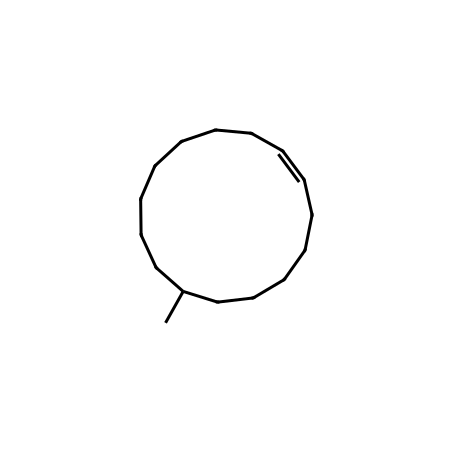 CC1CCCCCC=CCCCCCCC1